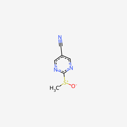 C[S+]([O-])c1ncc(C#N)cn1